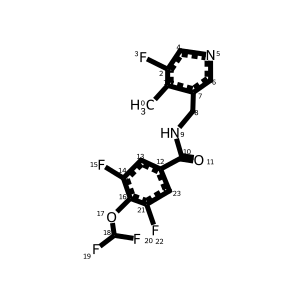 Cc1c(F)cncc1CNC(=O)c1cc(F)c(OC(F)F)c(F)c1